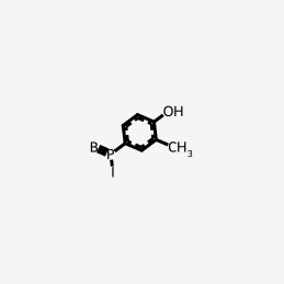 B#P(I)c1ccc(O)c(C)c1